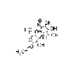 C=CCO[C@@H]1OC(CO)C(O[C@@H]2OC(CO)C(O)C(O)C2N=O)C(O)C1O